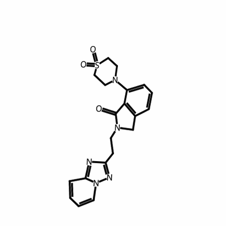 O=C1c2c(cccc2N2CCS(=O)(=O)CC2)CN1CCc1nc2ccccn2n1